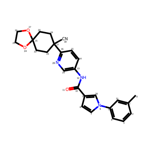 Cc1cccc(-n2ccc(C(=O)Nc3ccc(C4(C#N)CCC5(CC4)OCCO5)nc3)c2)c1